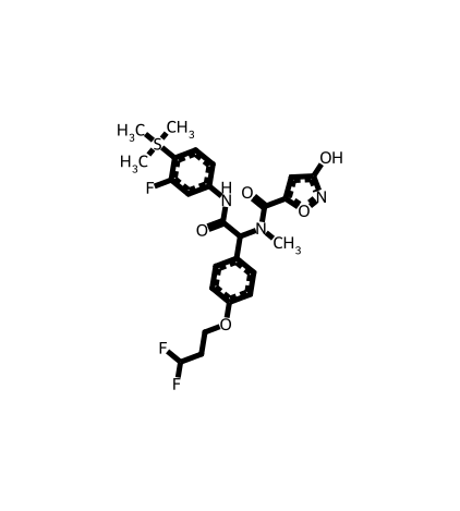 CN(C(=O)c1cc(O)no1)C(C(=O)Nc1ccc(S(C)(C)C)c(F)c1)c1ccc(OCCC(F)F)cc1